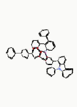 c1ccc(-c2ccc(-c3ccc(N(c4cccc(-c5cccc6c7ccccc7n(-c7ccccc7)c56)c4)c4cccc(-c5ccccc5)c4-c4ccccc4-c4ccccc4)cc3)cc2)cc1